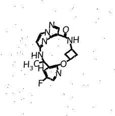 C[C@H]1Nc2ccn3ncc(c3n2)C(=O)NC2CC(C2)Oc2ncc(F)cc21